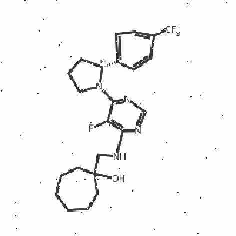 OC1(CNc2ncnc(N3CCC[C@@H]3c3ccc(C(F)(F)F)cc3)c2F)CCCCCC1